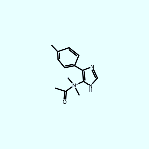 CC(=O)[N+](C)(C)c1[nH]cnc1-c1ccc(C)cc1